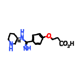 N=C(N[C@H]1CCCNC1)c1ccc(OCCC(=O)O)cc1